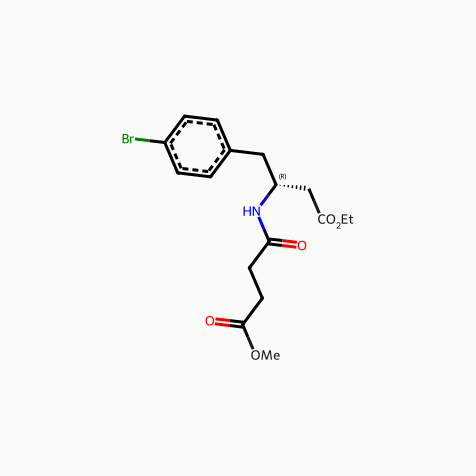 CCOC(=O)C[C@@H](Cc1ccc(Br)cc1)NC(=O)CCC(=O)OC